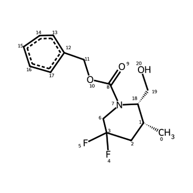 C[C@@H]1CC(F)(F)CN(C(=O)OCc2ccccc2)[C@@H]1CO